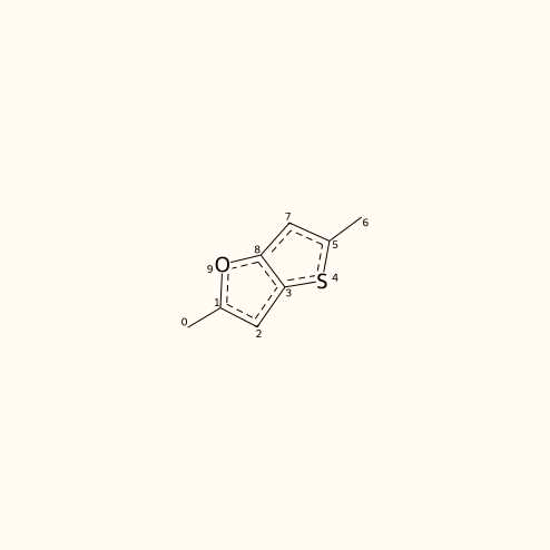 Cc1cc2sc(C)cc2o1